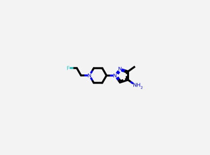 Cc1nn(C2CCN(CCF)CC2)cc1N